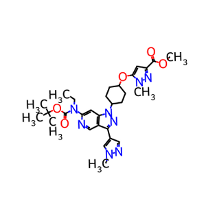 CCN(C(=O)OC(C)(C)C)c1cc2c(cn1)c(-c1cnn(C)c1)nn2C1CCC(Oc2cc(C(=O)OC)nn2C)CC1